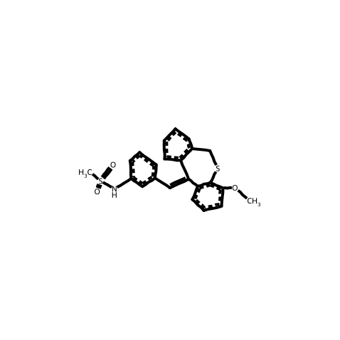 COc1cccc2c1SCc1ccccc1C2=Cc1cccc(NS(C)(=O)=O)c1